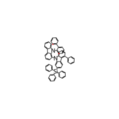 c1ccc(-c2ccccc2-n2c3ccccc3c3cccc(-n4c5cc([Si](c6ccccc6)(c6ccccc6)c6ccccc6)ccc5c5c(-c6ccccc6)cccc54)c32)cc1